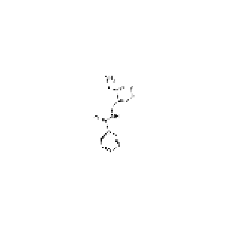 NCc1ccccc1CNC(=O)c1cccnc1